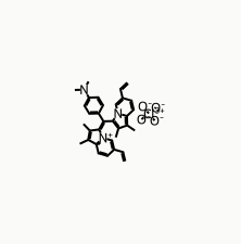 C=Cc1ccc2c(C)c(C)c(C(=C3C(C)=C(C)c4ccc(C=C)c[n+]43)c3ccc(N(C)C)cc3)n2c1.[O-][Cl+3]([O-])([O-])[O-]